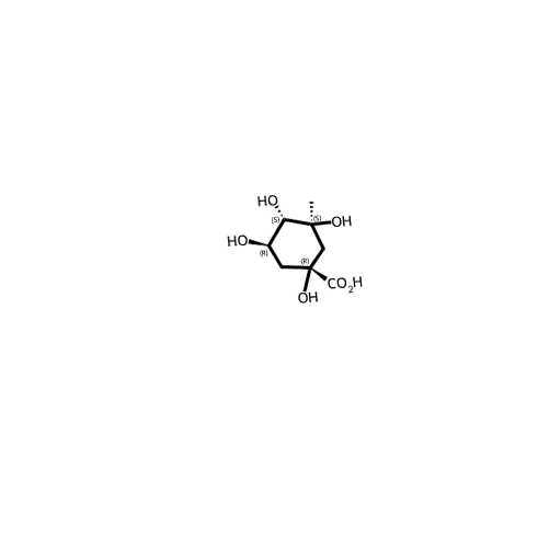 C[C@]1(O)C[C@@](O)(C(=O)O)C[C@@H](O)[C@@H]1O